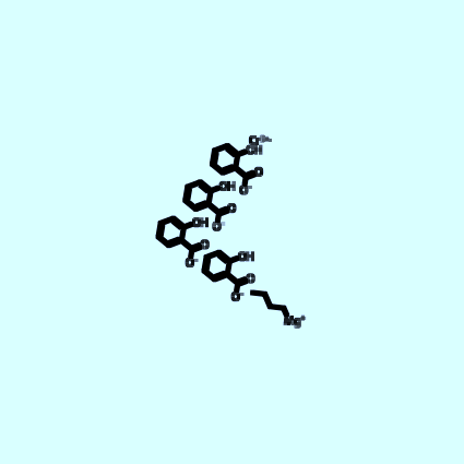 CCC[CH2][Mg+].O=C([O-])c1ccccc1O.O=C([O-])c1ccccc1O.O=C([O-])c1ccccc1O.O=C([O-])c1ccccc1O.[Cr+3]